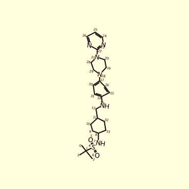 CC(C)(C)S(=O)(=O)NC1CCC(CNc2ccc(N3CCN(c4ncccn4)CC3)cc2)CC1